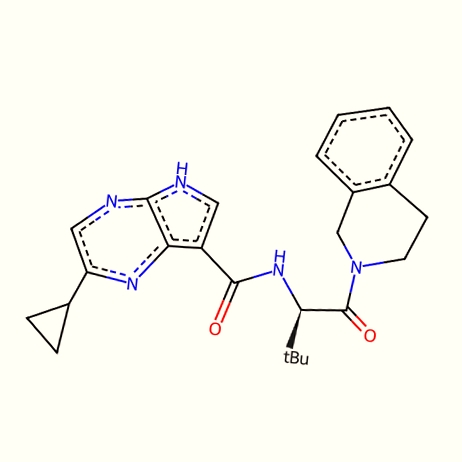 CC(C)(C)[C@@H](NC(=O)c1c[nH]c2ncc(C3CC3)nc12)C(=O)N1CCc2ccccc2C1